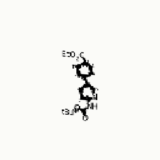 CCOC(=O)c1ccc(-c2ccc(NC(=O)OC(C)(C)C)nc2)cc1